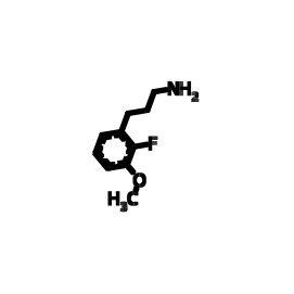 COc1cccc(CCCN)c1F